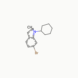 Brc1ccc2ccn(C3CCCCC3)c2c1.C